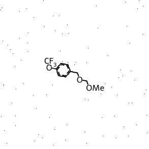 COCOCc1ccc(OC(F)(F)F)cc1